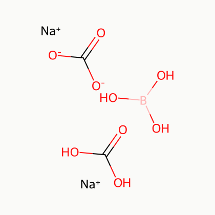 O=C(O)O.O=C([O-])[O-].OB(O)O.[Na+].[Na+]